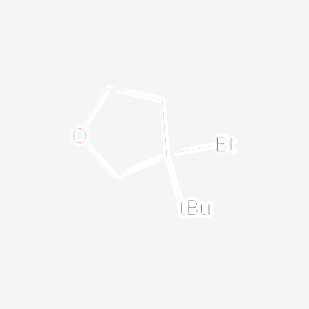 CCC1(C(C)(C)C)CCOC1